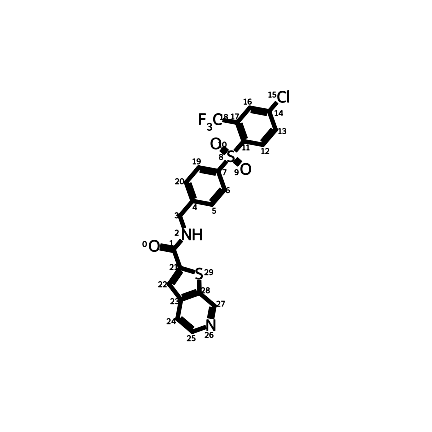 O=C(NCc1ccc(S(=O)(=O)c2ccc(Cl)cc2C(F)(F)F)cc1)c1cc2ccncc2s1